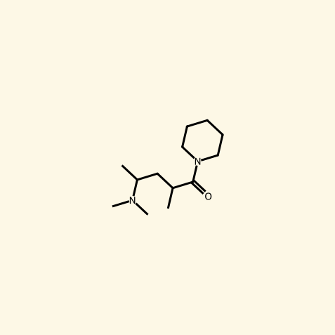 CC(CC(C)N(C)C)C(=O)N1CCCCC1